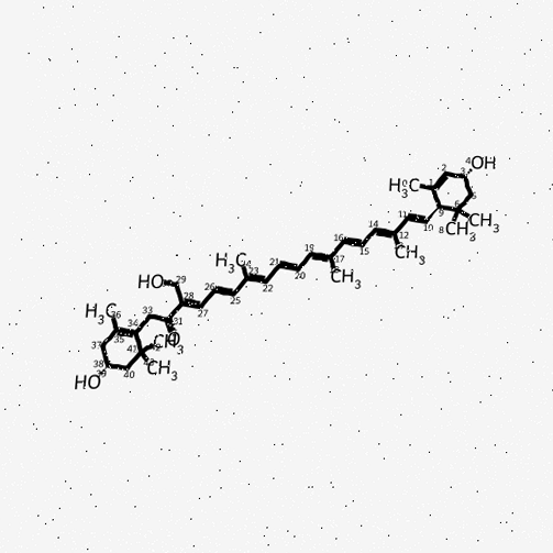 CC1=C[C@H](O)CC(C)(C)[C@H]1/C=C/C(C)=C/C=C/C(C)=C/C=C/C=C(C)/C=C/C=C(\CO)C(=O)CC1=C(C)C[C@@H](O)CC1(C)C